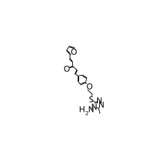 Cc1nnc(SCCOc2ccc(C=CC(=O)C=Cc3ccco3)cc2)n1N